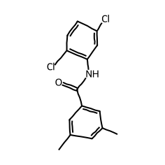 Cc1cc(C)cc(C(=O)Nc2cc(Cl)ccc2Cl)c1